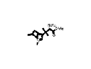 CN[C@H](C(=O)OC)C(C)(C)c1cn(C)c2c1CC2C